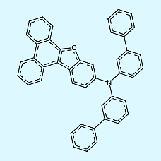 c1ccc(-c2cccc(N(c3cccc(-c4ccccc4)c3)c3ccc4c(c3)oc3c5ccccc5c5ccccc5c43)c2)cc1